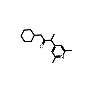 Cc1cc(C(C)C(=O)CC2CCCCC2)cc(C)n1